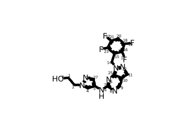 OCCn1cc(Nc2ncc3cnn(Cc4c(F)c(F)cc(F)c4F)c3n2)cn1